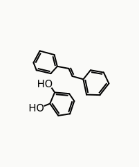 C(=C\c1ccccc1)/c1ccccc1.Oc1ccccc1O